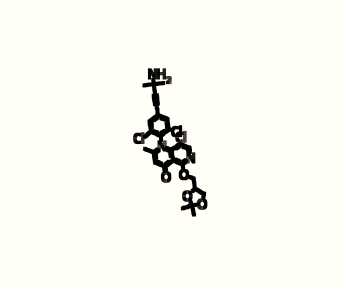 Cc1cc(=O)c2c(OCC3COC(C)(C)O3)ncc(Cl)c2n1-c1c(Cl)cc(C#CC(C)(C)N)cc1Cl